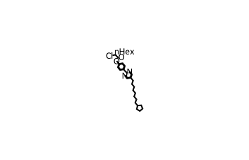 CCCCCC[C@@H](Cl)C(=O)Oc1ccc(-c2ncc(CCCCCCCCC3CCCC3)cn2)cc1